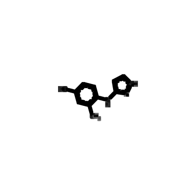 Cc1cc(O)ccc1Nc1cc[nH]n1